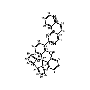 c1ccc2c(c1)Oc1c(-c3ncc4ccc5ncccc5c4n3)cccc1C21c2ccccc2-c2ccccc21